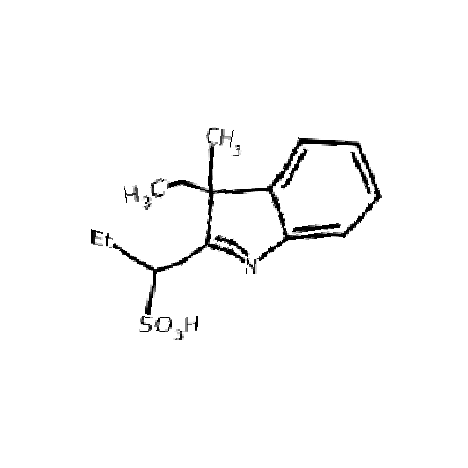 CCC(C1=Nc2ccccc2C1(C)C)S(=O)(=O)O